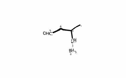 B.CC(O)CC=O